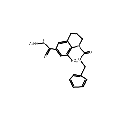 CC(=O)NNC(=O)c1cc2c(c([N+](=O)[O-])c1)N(C(=O)OCc1ccccc1)CCC2